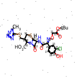 Cn1nnnc1SCC1=C(C(=O)O)N2C(=O)C(NC(=O)C(=NOCC(=O)OC(C)(C)C)c3ccc(O)c(Cl)c3)[C@@H]2SC1